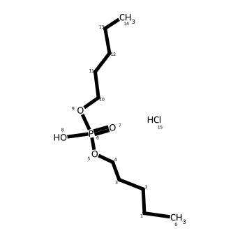 CCCCCOP(=O)(O)OCCCCC.Cl